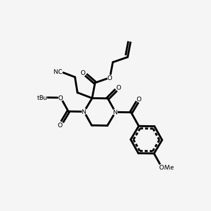 C=CCOC(=O)C1(CCC#N)C(=O)N(C(=O)c2ccc(OC)cc2)CCN1C(=O)OC(C)(C)C